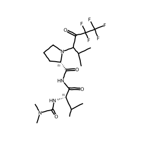 CC(C)C(C(=O)C(F)(F)C(F)(F)F)N1CCC[C@H]1C(=O)NC(=O)[C@@H](NC(=O)N(C)C)C(C)C